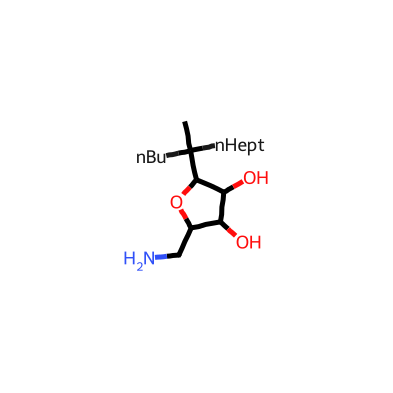 CCCCCCCC(C)(CCCC)C1OC(CN)C(O)C1O